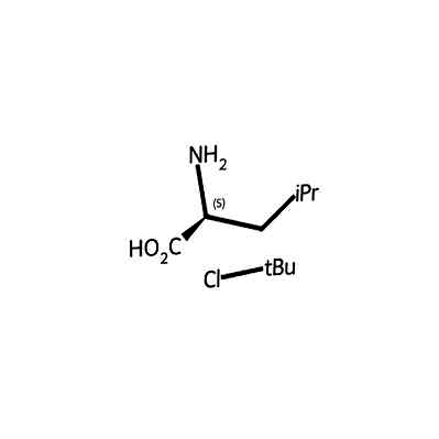 CC(C)(C)Cl.CC(C)C[C@H](N)C(=O)O